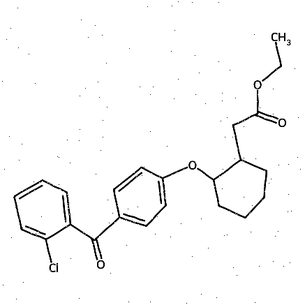 CCOC(=O)CC1CCCCC1Oc1ccc(C(=O)c2ccccc2Cl)cc1